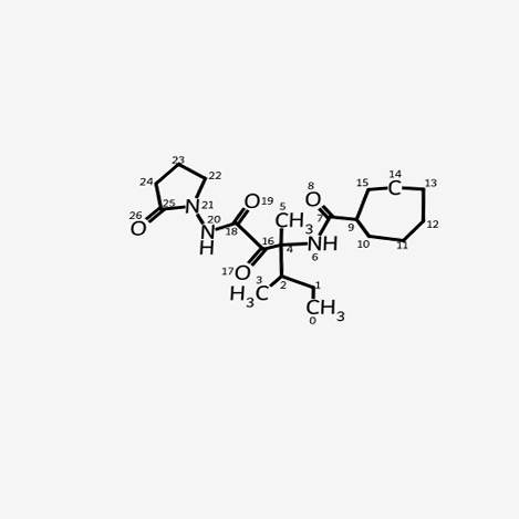 CCC(C)C(C)(NC(=O)C1CCCCCC1)C(=O)C(=O)NN1CCCC1=O